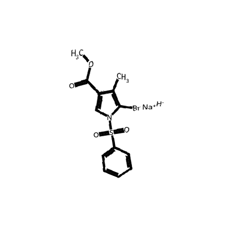 COC(=O)c1cn(S(=O)(=O)c2ccccc2)c(Br)c1C.[H-].[Na+]